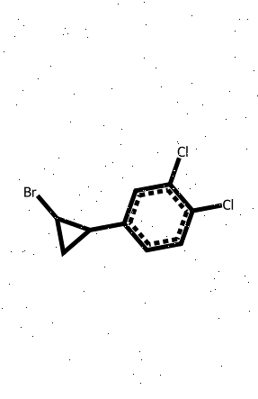 Clc1ccc(C2CC2Br)cc1Cl